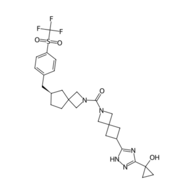 O=C(N1CC2(CC(c3nc(C4(O)CC4)n[nH]3)C2)C1)N1CC2(CC[C@@H](Cc3ccc(S(=O)(=O)C(F)(F)F)cc3)C2)C1